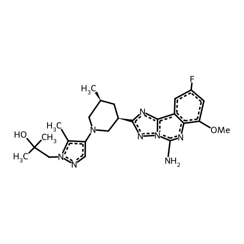 COc1cc(F)cc2c1nc(N)n1nc([C@@H]3C[C@H](C)CN(c4cnn(CC(C)(C)O)c4C)C3)nc21